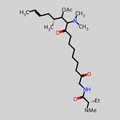 CC=CC[C@@H](C)C(OC(C)=O)C(C(=O)CCCCCCC(=O)[CH]NC(=O)[C@H](CC)NC)N(C)C